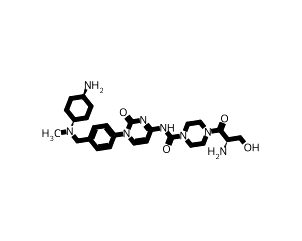 CN(Cc1ccc(-n2ccc(NC(=O)N3CCN(C(=O)[C@@H](N)CO)CC3)nc2=O)cc1)[C@H]1CC[C@H](N)CC1